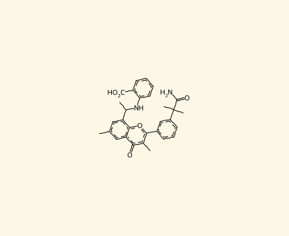 Cc1cc(C(C)Nc2ccccc2C(=O)O)c2oc(-c3cccc(C(C)(C)C(N)=O)c3)c(C)c(=O)c2c1